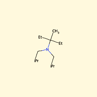 CCC(C)(CC)N(CC(C)C)CC(C)C